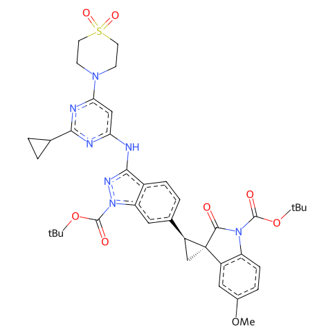 COc1ccc2c(c1)[C@]1(C[C@H]1c1ccc3c(Nc4cc(N5CCS(=O)(=O)CC5)nc(C5CC5)n4)nn(C(=O)OC(C)(C)C)c3c1)C(=O)N2C(=O)OC(C)(C)C